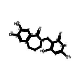 Cc1cc(C)c(CN2CCCc3cc(Cl)c(C)cc3C2=O)c(=O)[nH]1